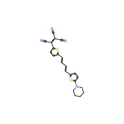 N#CC(C#N)=C(C#N)c1ccc(C=CC=Cc2ccc(N3CCCCC3)s2)s1